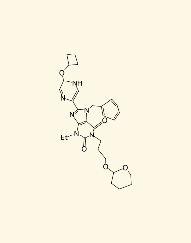 CCn1c(=O)n(CCCOC2CCCCO2)c(=O)c2c1nc(C1=CNC(OC3CCC3)C=N1)n2Cc1ccccc1